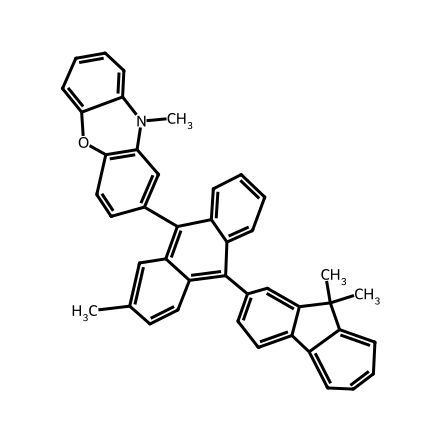 Cc1ccc2c(-c3ccc4c(c3)C(C)(C)c3ccccc3-4)c3ccccc3c(-c3ccc4c(c3)N(C)c3ccccc3O4)c2c1